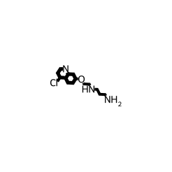 NCCCNCCOc1ccc2c(Cl)ccnc2c1